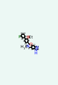 CCOc1cc(C(=O)N(C)Cc2ccc3nc[nH]c3c2)ccc1-c1cccc(F)c1